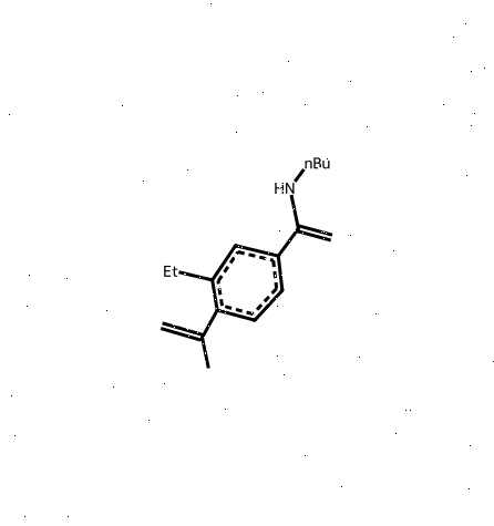 C=C(NCCCC)c1ccc(C(=C)C)c(CC)c1